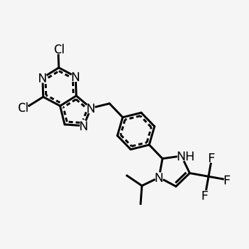 CC(C)N1C=C(C(F)(F)F)NC1c1ccc(Cn2ncc3c(Cl)nc(Cl)nc32)cc1